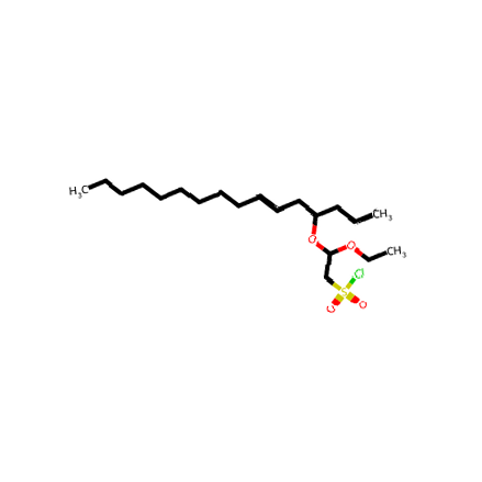 CCCCCCCCCCCCC(CCC)OC(CS(=O)(=O)Cl)OCC